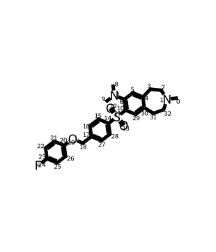 CN1CCc2cc(N(C)C)c(S(=O)(=O)c3ccc(COc4ccc(F)cc4)cc3)cc2CC1